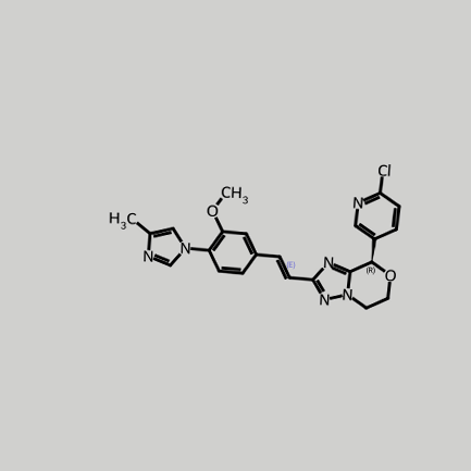 COc1cc(/C=C/c2nc3n(n2)CCO[C@@H]3c2ccc(Cl)nc2)ccc1-n1cnc(C)c1